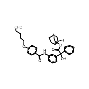 O=CCCCCOc1ccc(C(=O)Nc2cccc(C(O)(C(=O)O[C@H]3CN4CCC3CC4)c3ccccc3)c2)cc1